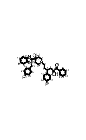 CN(CC(CCN1CCC(O)(c2nc3ccccc3n2Cc2ccc(F)cc2)CC1)c1ccc(F)cc1)C(=O)c1ccccc1